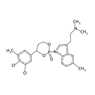 Cc1ccc2c(c1)c(CCN(C)C)cn2P1(=O)OCCC(c2cc(C)c(Cl)c(Cl)c2)O1